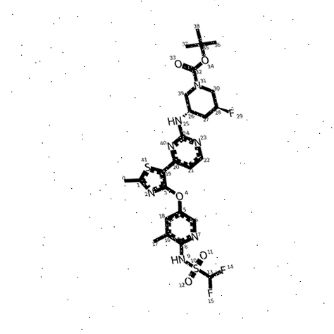 Cc1nc(Oc2cnc(NS(=O)(=O)C(F)F)c(C)c2)c(-c2ccnc(N[C@H]3C[C@H](F)CN(C(=O)OC(C)(C)C)C3)n2)s1